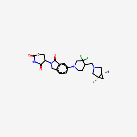 O=C1CCC(N2Cc3ccc(N4CCC(CN5C[C@H]6C[C@H]6C5)C(F)(F)C4)cc3C2=O)C(=O)N1